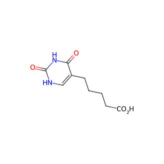 O=C(O)CCCCc1c[nH]c(=O)[nH]c1=O